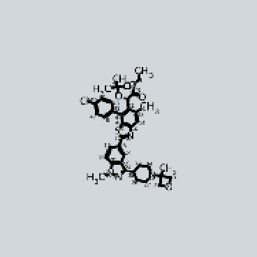 CCOC(=O)[C@@H](OC(C)(C)C)c1c(C)cc2nc(-c3ccc4c(c3)c(C3CCN(C5(C)COC5)CC3)nn4C)sc2c1-c1ccc(Cl)cc1